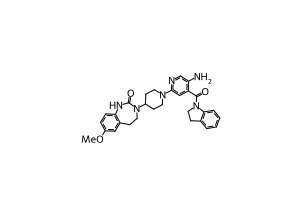 COc1ccc2c(c1)CCN(C1CCN(c3cc(C(=O)N4CCc5ccccc54)c(N)cn3)CC1)C(=O)N2